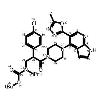 Cc1nnc(-c2cnc3[nH]ccc3c2N2CCN(C(=O)C(CN(C(=O)OC(C)(C)C)C(C)C)c3ccc(Cl)cc3)CC2)o1